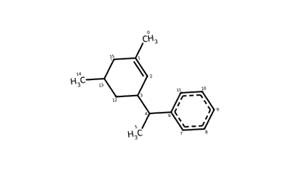 CC1=CC(C(C)c2ccccc2)CC(C)[CH]1